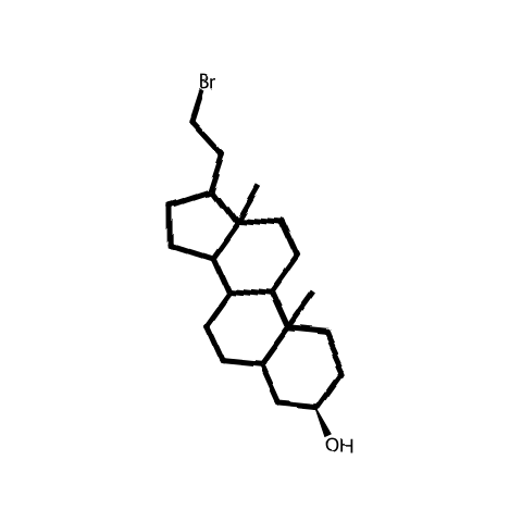 CC12CCC3C(CCC4C[C@H](O)CCC43C)C1CCC2CCBr